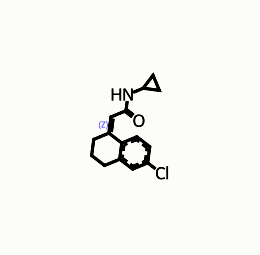 O=C(/C=C1/CCCc2cc(Cl)ccc21)NC1CC1